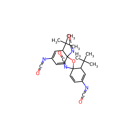 CC(C)(C)C1C=C(N=C=O)C=CC1(N=C=O)OC1(N=C=O)C=CC(N=C=O)=CC1C(C)(C)C